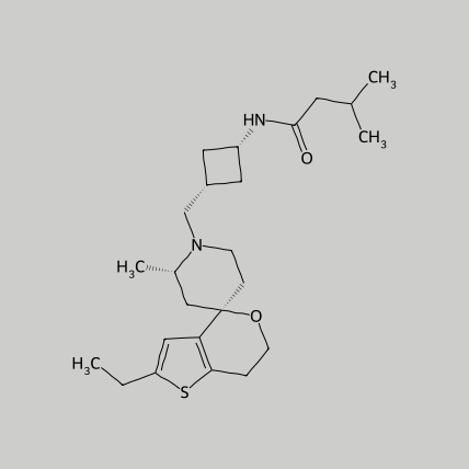 CCc1cc2c(s1)CCO[C@@]21CCN(C[C@H]2C[C@@H](NC(=O)CC(C)C)C2)[C@@H](C)C1